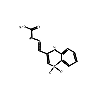 COC(=O)NN=CC1=C[N+]([O-])([O-])c2ccccc2N1